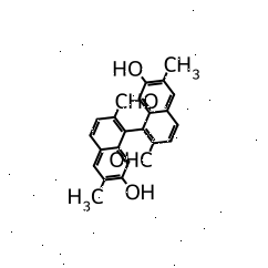 Cc1cc2ccc(C=O)c(-c3c(C=O)ccc4cc(C)c(O)cc34)c2cc1O